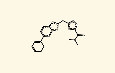 CN(C)C(=O)c1nnc(Cc2nc3ccc(C4=CC=CCC4)cc3s2)o1